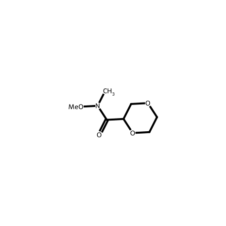 CON(C)C(=O)C1COCCO1